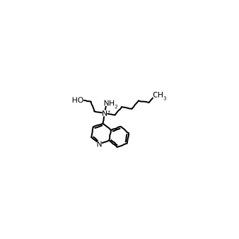 CCCCCC[N+](N)(CCO)c1ccnc2ccccc12